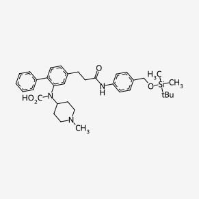 CN1CCC(N(C(=O)O)c2cc(CCC(=O)Nc3ccc(CO[Si](C)(C)C(C)(C)C)cc3)ccc2-c2ccccc2)CC1